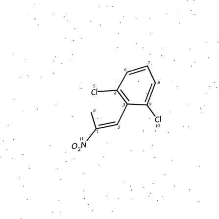 CC(=Cc1c(Cl)cccc1Cl)[N+](=O)[O-]